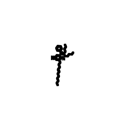 CCCCCCC=CCCCc1ccccc1N=C(CCCC)C(CCCC)=Nc1ccccc1.[Ni]